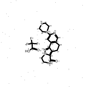 O=C(O)C(F)(F)F.O=C1NCCn2nc3c(c21)CCc1cnc(N2CCSCC2)cc1-3